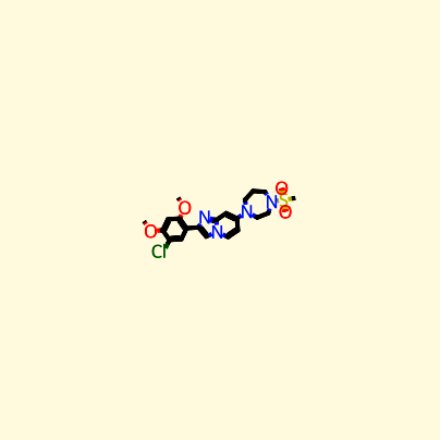 COc1cc(OC)c(-c2cn3ccc(N4CCCN(S(C)(=O)=O)CC4)cc3n2)cc1Cl